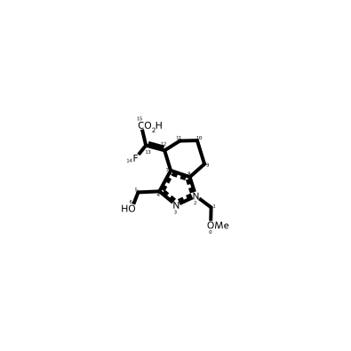 COCn1nc(CO)c2c1CCCC2=C(F)C(=O)O